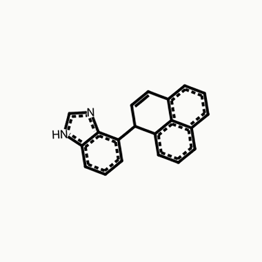 C1=CC(c2cccc3[nH]cnc23)c2cccc3cccc1c23